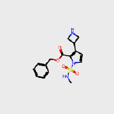 CNS(=O)(=O)n1ccc(C2CNC2)c1C(=O)OCc1ccccc1